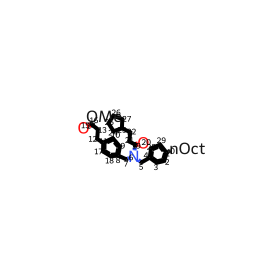 CCCCCCCCc1ccc(CN(Cc2ccc(CCC(=O)OC)cc2)C(=O)CCC2CCCC2)cc1